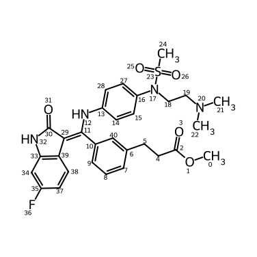 COC(=O)CCc1cccc(/C(Nc2ccc(N(CCN(C)C)S(C)(=O)=O)cc2)=C2/C(=O)Nc3cc(F)ccc32)c1